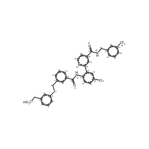 O=C(O)Cc1cccc(SCc2cccc(C(=O)Nc3ccc(Cl)cc3-c3cc(C(=O)NCc4cccc(C(F)(F)F)c4)ccn3)c2)c1